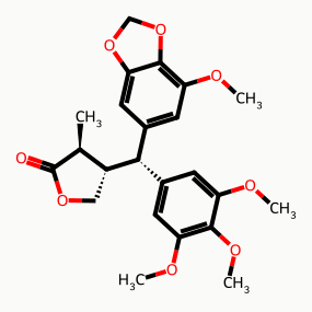 COc1cc([C@@H](c2cc(OC)c3c(c2)OCO3)[C@@H]2COC(=O)[C@H]2C)cc(OC)c1OC